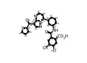 O=C(O)c1cc(Cl)c(Cl)cc1C(=O)Nc1cccc(-c2ccnc3c(C(=O)c4cccs4)cnn23)c1